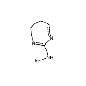 CC(C)NC1=NCCC=N1